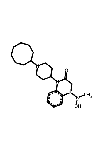 CB(O)N1CC(=O)N(C2CCN(C3CCCCCCC3)CC2)c2ccccc21